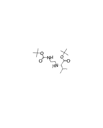 CC(C)[C@H](NCCNC(=O)OC(C)(C)C)C(=O)OC(C)(C)C